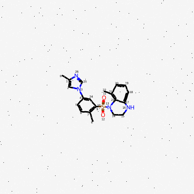 Cc1cn(-c2ccc(C)c(S(=O)(=O)N3CCNc4cccc(C)c43)c2)cn1